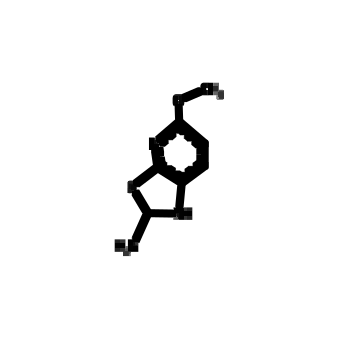 COc1ccc2c(n1)SC(N)N2